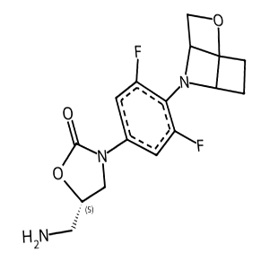 NC[C@H]1CN(c2cc(F)c(N3C4CCC45OCC35)c(F)c2)C(=O)O1